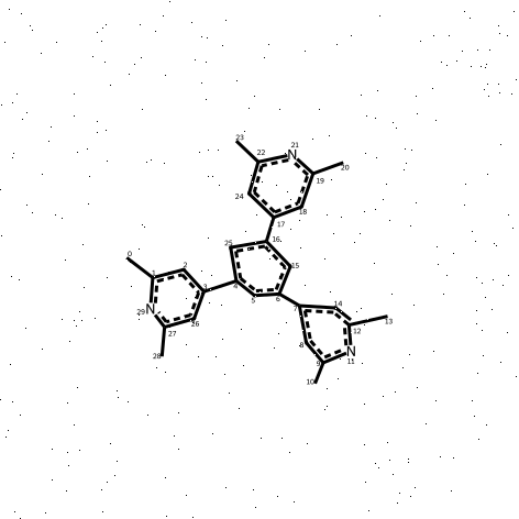 Cc1cc(-c2cc(-c3cc(C)nc(C)c3)cc(-c3cc(C)nc(C)c3)c2)cc(C)n1